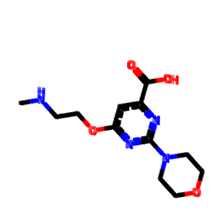 CNCCOc1cc(C(=O)O)nc(N2CCOCC2)n1